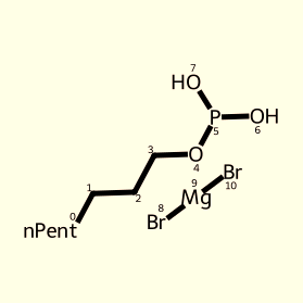 CCCCCCCCOP(O)O.[Br][Mg][Br]